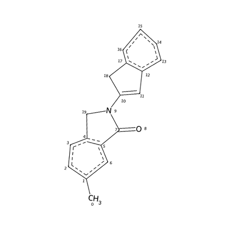 Cc1ccc2c(c1)C(=O)N(C1=Cc3ccccc3C1)C2